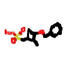 CC1C(CS(=O)(=O)O)CC1OCc1ccccc1